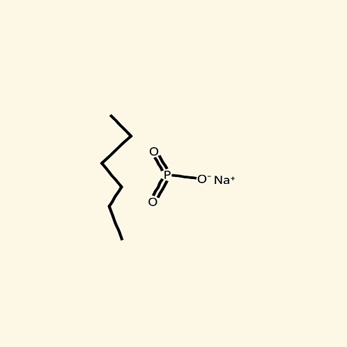 CCCCCC.O=P(=O)[O-].[Na+]